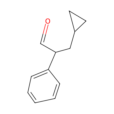 O=CC(CC1CC1)c1ccccc1